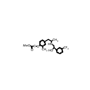 COC(=O)COc1ccc(CC(C)NCC(O)c2cccc(C(F)(F)F)c2)cc1C